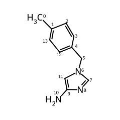 Cc1ccc(Cn2cnc(N)c2)cc1